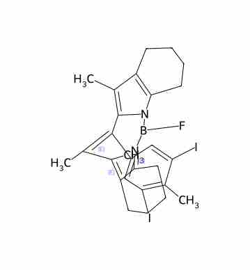 CC1=C2/CCCC/C2=N\B(F)n2c3c(c(C)c2\C(c2cc(I)c(C)c(I)c2)=C\1C)CCCC3